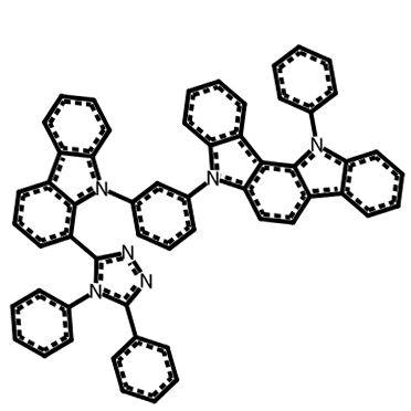 c1ccc(-c2nnc(-c3cccc4c5ccccc5n(-c5cccc(-n6c7ccccc7c7c6ccc6c8ccccc8n(-c8ccccc8)c67)c5)c34)n2-c2ccccc2)cc1